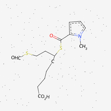 Cn1cccc1C(=O)SC(CCCCC(=O)O)CCSC=O